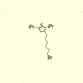 CC(C)c1cc(CCCCCCBr)c(C(C)C)s1